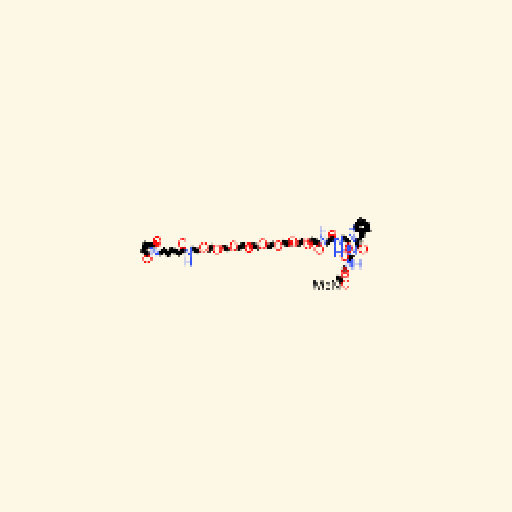 CNC(=O)COCNC(=O)CNC(=O)[C@H](Cc1ccccc1)NC(=O)CNC(=O)CNC(=O)COCCOCCOCCOCCOCCOCCOCCOCCNC(=O)CCCCCN1C(=O)C=CC1=O